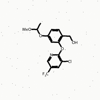 COC(C)Oc1ccc(CO)c(Oc2ncc(C(F)(F)F)cc2Cl)c1